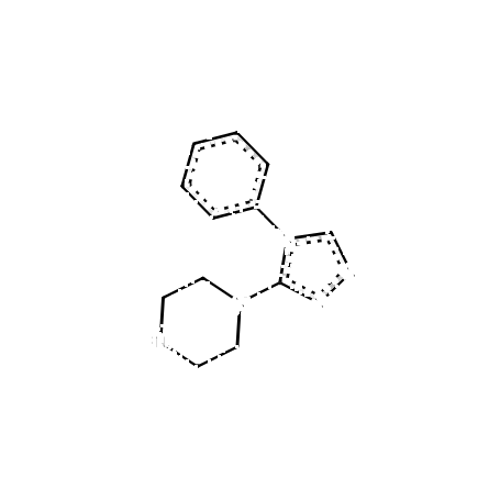 c1ccc(-n2cnnc2N2CCNCC2)cc1